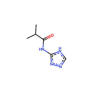 CC(C)C(=O)Nc1nnc[nH]1